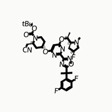 C[C@H](Oc1cc(O[C@H]2CCN(C(=O)OC(C)(C)C)[C@H](CC#N)C2)nc(-c2noc(C(C)(C)c3cc(F)ccc3F)n2)n1)[C@@H]1C[C@@H](F)CN1C